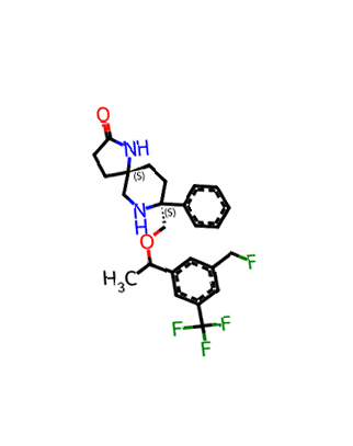 CC(OC[C@@]1(c2ccccc2)CC[C@]2(CCC(=O)N2)CN1)c1cc(CF)cc(C(F)(F)F)c1